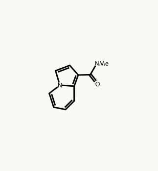 CNC(=O)c1ccn2ccccc12